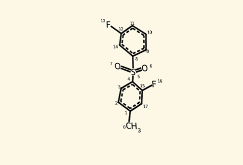 Cc1ccc(S(=O)(=O)c2[c]ccc(F)c2)c(F)c1